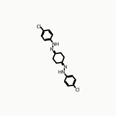 Clc1ccc(NN=C2CCC(=NNc3ccc(Cl)cc3)CC2)cc1